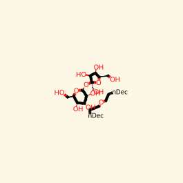 CCCCCCCCCCCCOCCCCCCCCCCCC.OC[C@H]1O[C@@](CO)(O[C@H]2O[C@H](CO)[C@@H](O)[C@H](O)[C@H]2O)[C@@H](O)[C@@H]1O